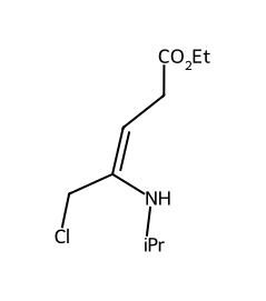 CCOC(=O)CC=C(CCl)NC(C)C